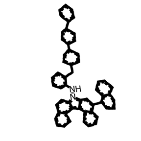 c1ccc(-c2ccc(-c3ccc(Cc4ccccc4Nn4c5ccc6ccccc6c5c5c6ccccc6c(-c6cccc7ccccc67)cc54)cc3)cc2)cc1